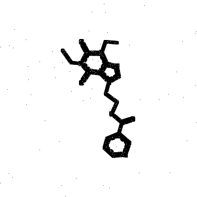 CCn1c(=O)c2c(ncn2CCOC(=O)c2cccnc2)n(CC)c1=O